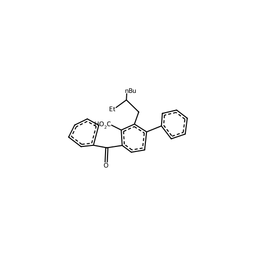 CCCCC(CC)Cc1c(-c2ccccc2)ccc(C(=O)c2ccccc2)c1C(=O)O